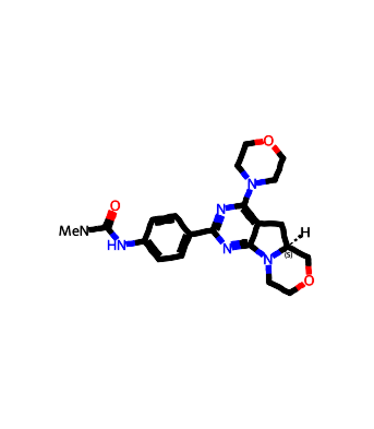 CNC(=O)Nc1ccc(-c2nc(N3CCOCC3)c3c(n2)N2CCOC[C@@H]2C3)cc1